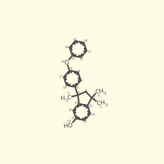 CC1(C)CC(C)(c2ccc(Oc3ccccc3)cc2)c2cc(O)ccc21